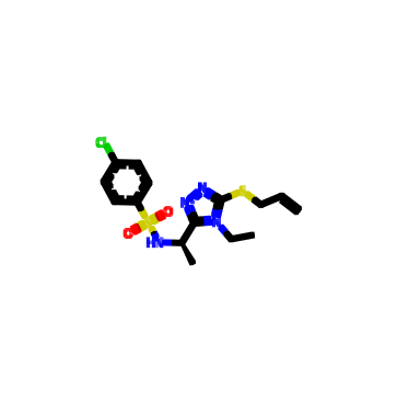 C=CCSc1nnc([C@@H](C)NS(=O)(=O)c2ccc(Cl)cc2)n1CC